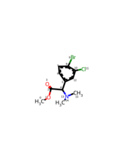 COC(=O)C(c1ccc(Br)c(Cl)c1)N(C)C